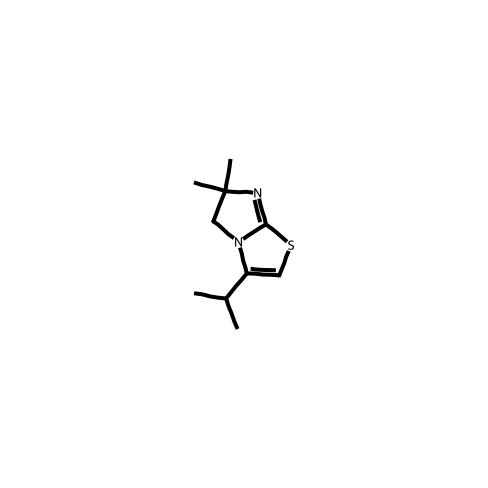 CC(C)C1=CSC2=NC(C)(C)CN12